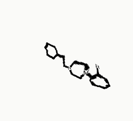 CCc1ccccc1N1CCN(CCC2CCCCC2)CC1